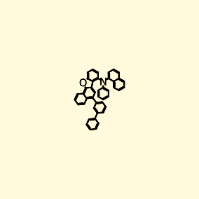 c1ccc(-c2cccc(-c3cc4c(oc5cccc(N(c6ccccc6)c6cccc7ccccc67)c54)c4ccccc34)c2)cc1